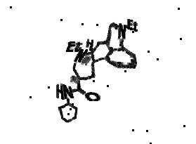 CCN1C[C@H](C(=O)NC2CCCCC2)CC2c3cccc4c3c(cn4CC)C[C@H]21